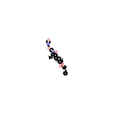 CC1([C@@H]2CC[C@]3(C(=O)N4CCC(OCCN5CCOCC5)CC4)CC[C@]4(C)[C@H](CC[C@@H]5[C@@]6(C)CC[C@H](OC(=O)[C@H]7C[C@@H](Cc8ccccc8)C7(C)C)C(C)(C)[C@@H]6CC[C@]54C)[C@@H]23)CC1